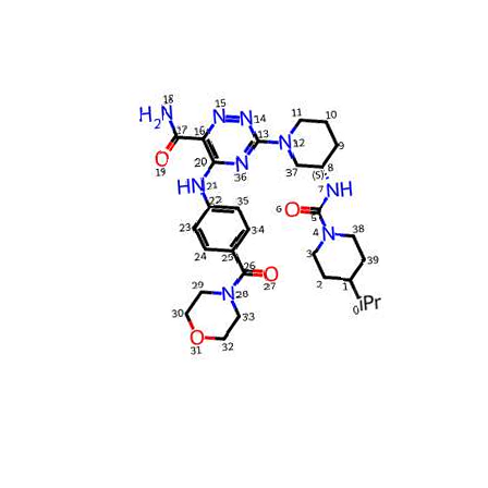 CC(C)C1CCN(C(=O)N[C@H]2CCCN(c3nnc(C(N)=O)c(Nc4ccc(C(=O)N5CCOCC5)cc4)n3)C2)CC1